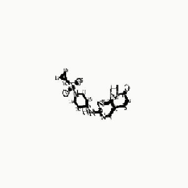 O=c1ccc2cnc(NC3CCN(S(=O)(=O)C4CC4)CC3)nc2[nH]1